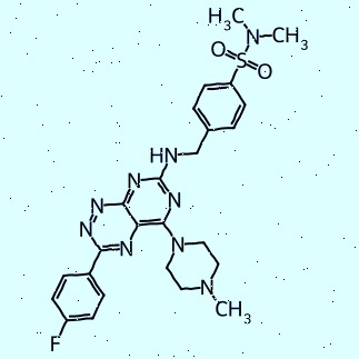 CN1CCN(c2nc(NCc3ccc(S(=O)(=O)N(C)C)cc3)nc3nnc(-c4ccc(F)cc4)nc23)CC1